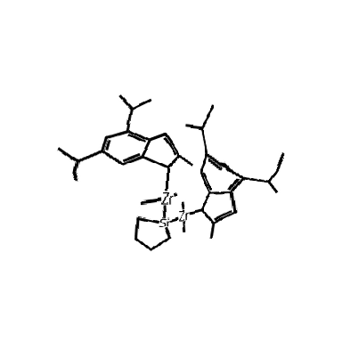 CC1=Cc2c(C(C)C)cc(C(C)C)cc2[CH]1[Zr]([CH3])([CH3])[Si]1([Zr]([CH3])([CH3])[CH]2C(C)=Cc3c(C(C)C)cc(C(C)C)cc32)CCCC1